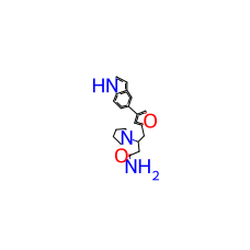 NC(=O)CC(Cc1cc(-c2ccc3[nH]ccc3c2)co1)N1CCCC1